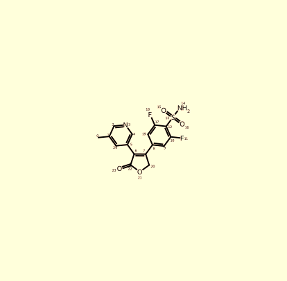 Cc1cncc(C2=C(c3cc(F)c(S(N)(=O)=O)c(F)c3)COC2=O)c1